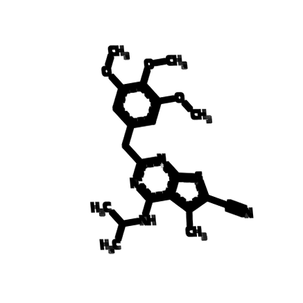 COc1cc(Cc2nc(NC(C)C)c3c(C)c(C#N)sc3n2)cc(OC)c1OC